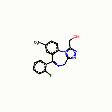 O=[N+]([O-])c1ccc2c(c1)C(c1ccccc1F)=NCc1nnc(CO)n1-2